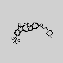 CN(C)S(=O)(=O)c1ccc2c(c1)C(=Cc1cc3cc(OCCN4CCOCC4)ccc3[nH]1)C(=O)N2